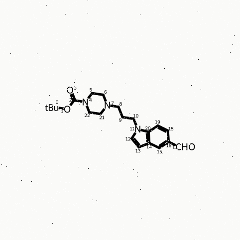 CC(C)(C)OC(=O)N1CCN(CCCn2ccc3cc(C=O)ccc32)CC1